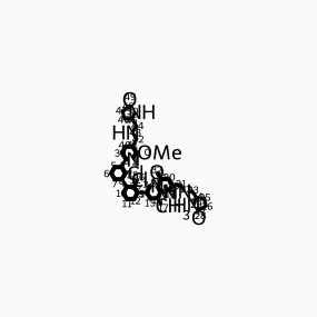 COc1nc(-c2cccc(-c3cccc(-c4cc(C)c5nc(CNCC6CCC(=O)N6)cc(=O)n5c4)c3Cl)c2Cl)ccc1CNCC1CCC(=O)N1